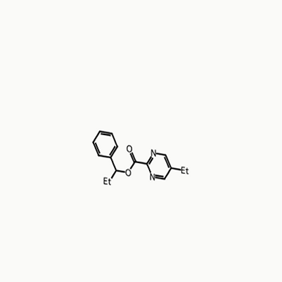 CCc1cnc(C(=O)OC(CC)c2ccccc2)nc1